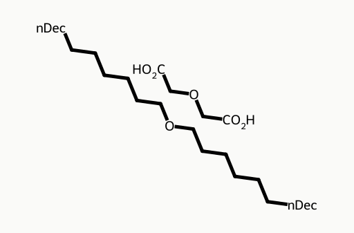 CCCCCCCCCCCCCCCCOCCCCCCCCCCCCCCCC.O=C(O)COCC(=O)O